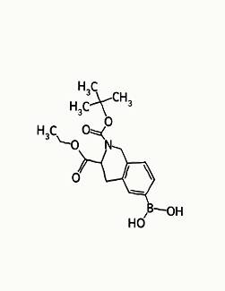 CCOC(=O)C1Cc2cc(B(O)O)ccc2CN1C(=O)OC(C)(C)C